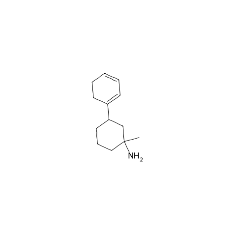 CC1(N)CCCC(C2=CC=CCC2)C1